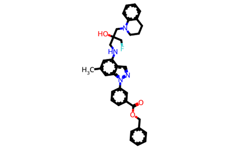 Cc1cc(NCC(O)(CF)CN2CCCc3ccccc32)c2cnn(-c3cccc(C(=O)OCc4ccccc4)c3)c2c1